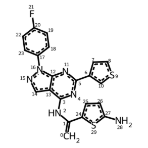 C=C(Nc1nc(-c2ccsc2)nc2c1cnn2-c1ccc(F)cc1)c1ccc(N)s1